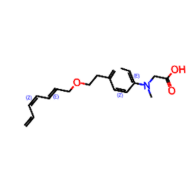 C=C/C=C\C=C\COCCC(=C)/C=C\C(=C/C)N(C)CC(=O)O